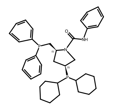 O=C(Nc1ccccc1)N1C[C@@H](P(C2CCCCC2)C2CCCCC2)C[C@H]1CP(c1ccccc1)c1ccccc1